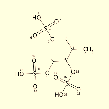 CC(COS(=O)(=O)O)C(COS(=O)(=O)O)OS(=O)(=O)O